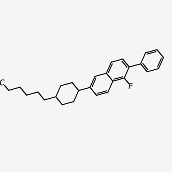 CCCCCCC1CCC(c2ccc3c(F)c(-c4ccccc4)ccc3c2)CC1